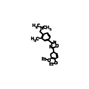 CCOC1=C(OCC)CC(c2nc(-c3ccc(CN(C)C)c(C)c3)no2)C=C1